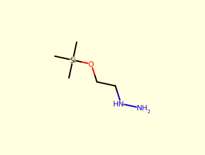 C[Si](C)(C)OCCNN